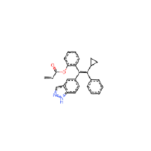 C=CC(=O)Oc1ccccc1/C(=C(/c1ccccc1)C1CC1)c1ccc2[nH]ncc2c1